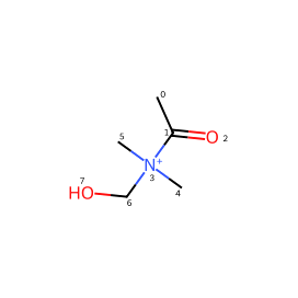 CC(=O)[N+](C)(C)CO